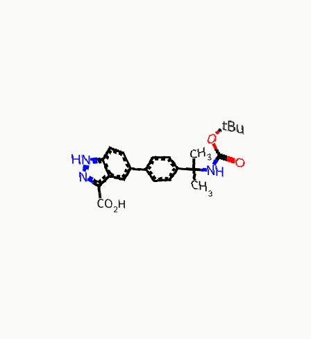 CC(C)(C)OC(=O)NC(C)(C)c1ccc(-c2ccc3[nH]nc(C(=O)O)c3c2)cc1